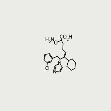 NOC(CC/C=C(/C1CCCCC1)C(Cc1cccc(Cl)c1)n1ccnc1)C(=O)O